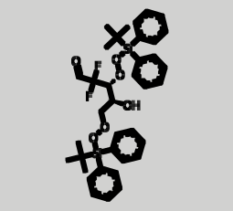 CC(C)(C)[Si](OOC[C@H](O)[C@@H](OO[Si](c1ccccc1)(c1ccccc1)C(C)(C)C)C(F)(F)C=O)(c1ccccc1)c1ccccc1